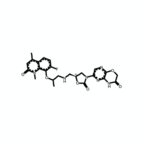 Cc1cc(=O)n(C)c2c(OC(C)CNC[C@H]3CN(c4cnc5c(n4)NC(=O)CO5)C(=O)O3)c(F)ccc12